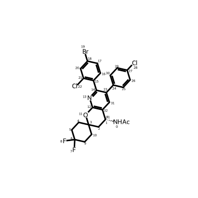 CC(=O)N[C@@H]1CC2(CCC(F)(F)CC2)Oc2nc(-c3ccc(Br)cc3Cl)c(-c3ccc(Cl)cc3)cc21